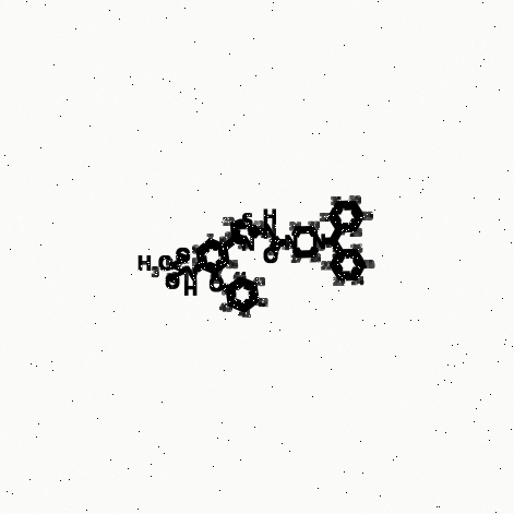 CS(=O)(=O)Nc1ccc(-c2csc(NC(=O)N3CCN(C(c4ccccc4)c4ccccc4)CC3)n2)cc1Oc1ccccc1